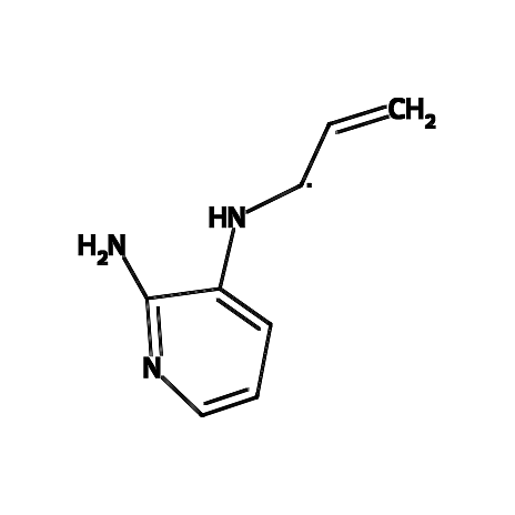 C=C[CH]Nc1cccnc1N